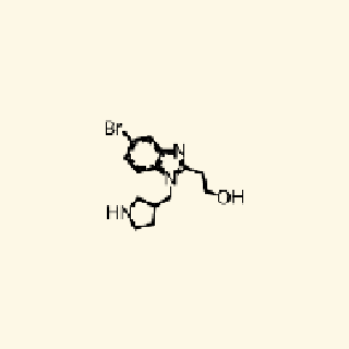 OCCc1nc2cc(Br)ccc2n1CC1CCNC1